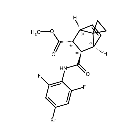 COC(=O)[C@H]1[C@H](C(=O)Nc2c(F)cc(Br)cc2F)[C@@H]2C=C[C@H]1C21CC1